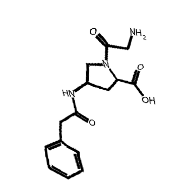 NCC(=O)N1CC(NC(=O)Cc2ccccc2)CC1C(=O)O